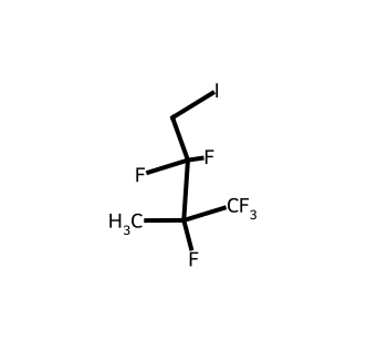 CC(F)(C(F)(F)F)C(F)(F)CI